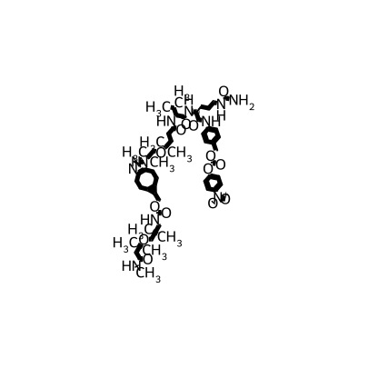 CNC(=O)CC(C)(C)OCC(C)(C)CNC(=O)OCC1C2CCc3nnn(C(C)(C)COC(C)(C)CCC(=O)NC(C(=O)N[C@@H](CCCNC(N)=O)C(=O)Nc4ccc(COC(=O)Oc5ccc([N+](=O)[O-])cc5)cc4)C(C)C)c3CCC21